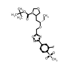 CC[C@@H](CC1COCN1C(=O)OC(C)(C)C)OCc1nc(-c2ccc(S(C)(=O)=O)c(F)c2)no1